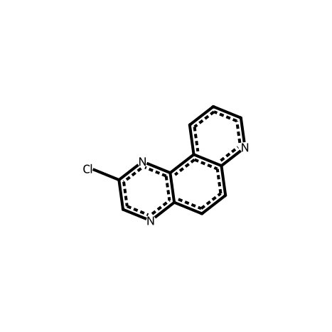 Clc1cnc2ccc3ncccc3c2n1